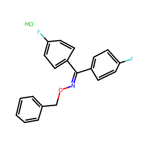 Cl.Fc1ccc(C(=NOCc2ccccc2)c2ccc(F)cc2)cc1